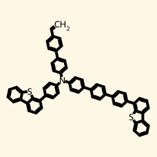 C=Cc1ccc(-c2ccc(N(c3ccc(-c4ccc(-c5ccc(-c6cccc7c6sc6ccccc67)cc5)cc4)cc3)c3ccc(-c4cccc5c4sc4ccccc45)cc3)cc2)cc1